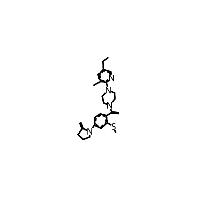 C=C(c1ccc(N2CCCC2=C)cc1SC)N1CCN(c2ncc(CC)cc2C)CC1